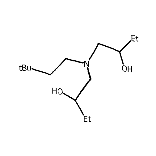 CCC(O)CN(CCC(C)(C)C)CC(O)CC